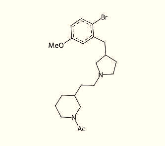 COc1ccc(Br)c(CC2CCN(CCC3CCCN(C(C)=O)C3)C2)c1